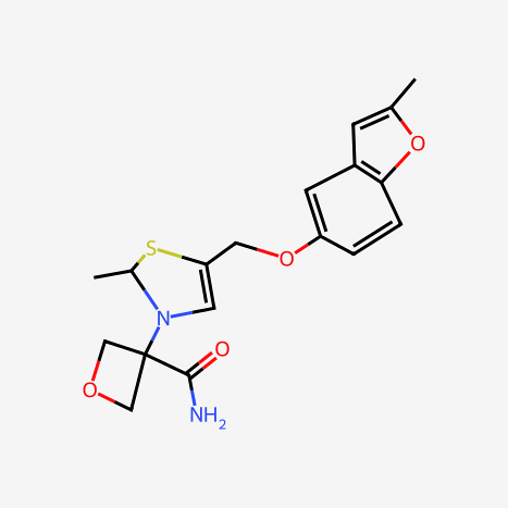 Cc1cc2cc(OCC3=CN(C4(C(N)=O)COC4)C(C)S3)ccc2o1